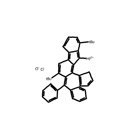 CC(C)(C)c1cc2c(c(C3=CC=CC3)c1=C(c1ccccc1)c1ccccc1)[C]([Hf+2])=c1c(C(C)(C)C)cccc1=2.[Cl-].[Cl-]